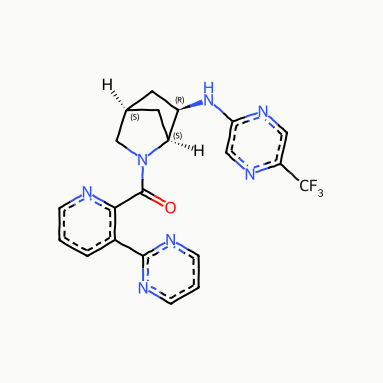 O=C(c1ncccc1-c1ncccn1)N1C[C@H]2C[C@@H](Nc3cnc(C(F)(F)F)cn3)[C@@H]1C2